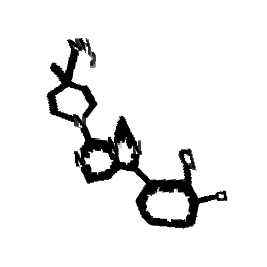 CC1(N)CCN(c2nccc3c(-c4cccc(Cl)c4Cl)ncn23)CC1